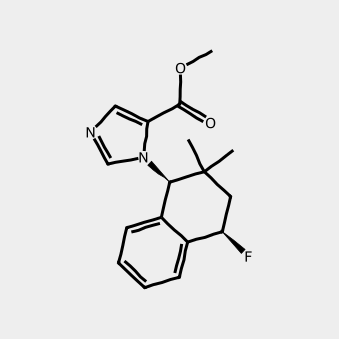 COC(=O)c1cncn1[C@@H]1c2ccccc2[C@H](F)CC1(C)C